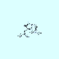 CC(=O)O.O=[PH](O)O.c1cscn1